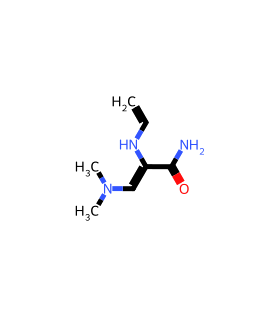 C=CN/C(=C\N(C)C)C(N)=O